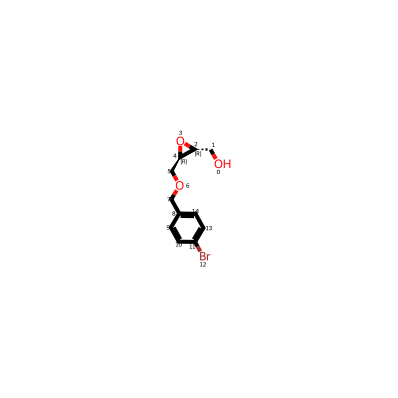 OC[C@H]1O[C@@H]1COCc1ccc(Br)cc1